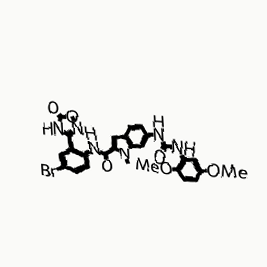 COc1ccc(OC)c(NC(=O)Nc2ccc3cc(C(=O)Nc4ccc(Br)cc4-c4noc(=O)[nH]4)n(C)c3c2)c1